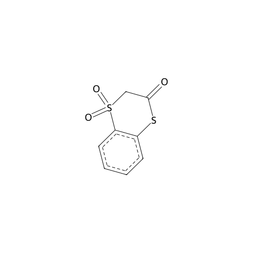 O=C1CS(=O)(=O)c2ccccc2S1